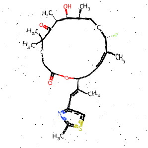 C/C1=C/C[C@@H](/C(C)=C/c2csc(C)n2)OC(=O)CCC(C)(C)C(=O)[C@H](C)[C@@H](O)[C@@H](C)CC[C@@H]1F